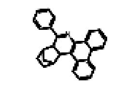 c1ccc(C2=Nc3c(c4ccccc4c4ccccc34)C3C4CCC(C4)C23)cc1